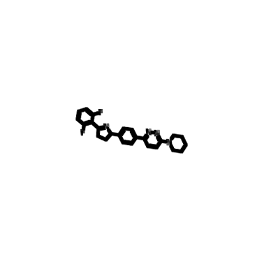 Fc1cccc(F)c1C1=NC(c2ccc(-c3ccc(N4CCCCC4)nn3)cc2)CC1